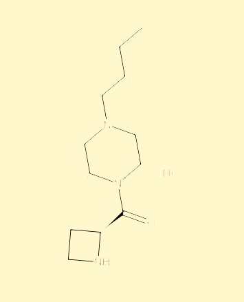 CCCCN1CCN(C(=O)[C@@H]2CCN2)CC1.Cl